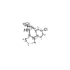 Cl.Cl.N=C1SCCN1c1ccc(Cl)cc1N